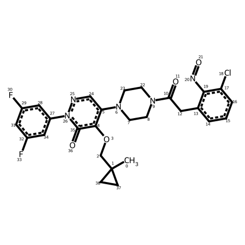 CC1(COc2c(N3CCN(C(=O)Cc4cccc(Cl)c4N=O)CC3)cnn(-c3cc(F)cc(F)c3)c2=O)CC1